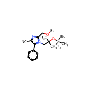 CCOCc1nc(C#N)c(-c2ccccc2)n1CC(C)(C)O[Si](C)(C)C(C)(C)C